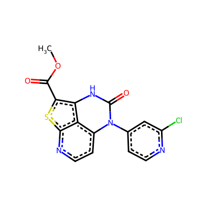 COC(=O)c1sc2nccc3c2c1NC(=O)N3c1ccnc(Cl)c1